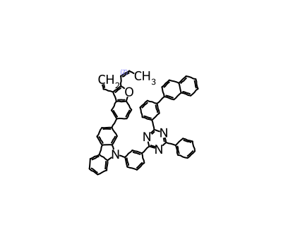 C=Cc1c(/C=C\C)oc2ccc(-c3ccc4c5ccccc5n(-c5cccc(-c6nc(-c7ccccc7)nc(-c7cccc(-c8ccc9ccccc9c8)c7)n6)c5)c4c3)cc12